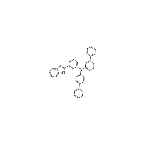 c1ccc(-c2ccc(N(c3cccc(-c4ccccc4)c3)c3cccc(-c4cc5ccccc5o4)c3)cc2)cc1